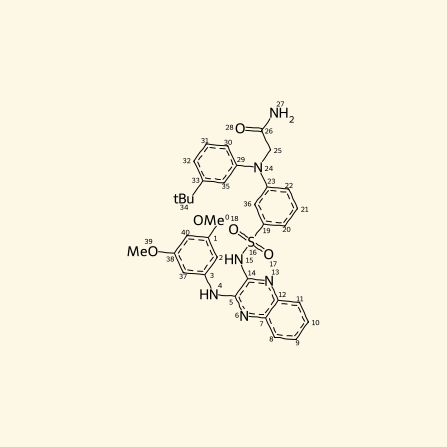 COc1cc(Nc2nc3ccccc3nc2NS(=O)(=O)c2cccc(N(CC(N)=O)c3cccc(C(C)(C)C)c3)c2)cc(OC)c1